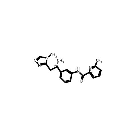 C[C@@H](Cc1nncn1C)c1cccc(NC(=O)c2cccc(C(F)(F)F)n2)c1